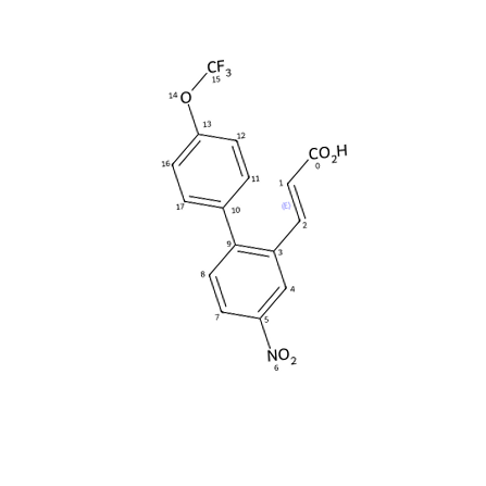 O=C(O)/C=C/c1cc([N+](=O)[O-])ccc1-c1ccc(OC(F)(F)F)cc1